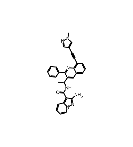 C[C@H](NC(=O)c1c(N)nn2ccccc12)c1cc2cccc(C#Cc3cnn(C)c3)c2nc1-c1ccccc1